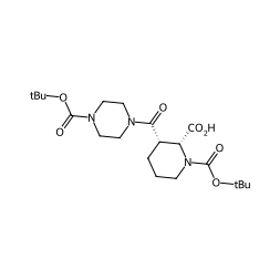 CC(C)(C)OC(=O)N1CCN(C(=O)[C@H]2CCCN(C(=O)OC(C)(C)C)[C@H]2C(=O)O)CC1